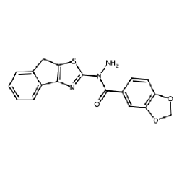 NN(C(=O)c1ccc2c(c1)OCO2)c1nc2c(s1)Cc1ccccc1-2